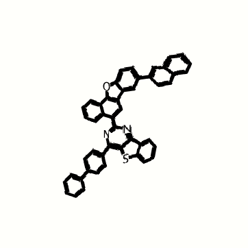 c1ccc(-c2ccc(-c3nc(-c4cc5c6cc(-c7ccc8ccccc8c7)ccc6oc5c5ccccc45)nc4c3sc3ccccc34)cc2)cc1